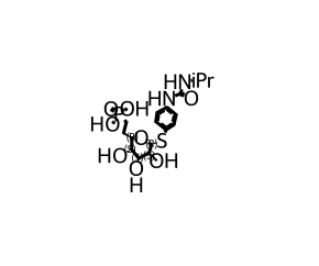 CC(C)NC(=O)Nc1ccc(S[C@H]2O[C@H](CCP(=O)(O)O)[C@@H](O)[C@H](O)[C@@H]2O)cc1